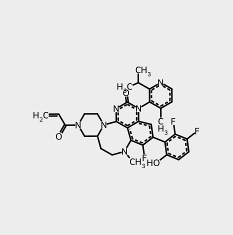 C=CC(=O)N1CCN2c3nc(=O)n(-c4c(C)ccnc4C(C)C)c4cc(-c5c(O)ccc(F)c5F)c(F)c(c34)N(C)CCC2C1